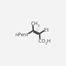 CCCCC/C(C)=C(/CC)C(=O)O